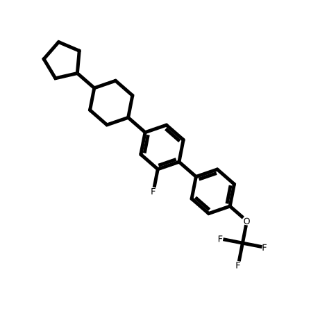 Fc1cc(C2CCC(C3CCCC3)CC2)ccc1-c1ccc(OC(F)(F)F)cc1